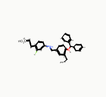 CC(C)Cc1cc(CNc2ccc(CCC(=O)O)c(F)c2)ccc1OC(c1ccccc1)c1ccccc1